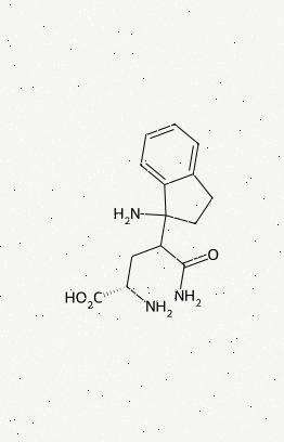 NC(=O)C(C[C@H](N)C(=O)O)C1(N)CCc2ccccc21